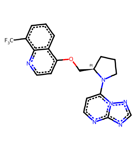 FC(F)(F)c1cccc2c(OC[C@H]3CCCN3c3ccnc4ncnn34)ccnc12